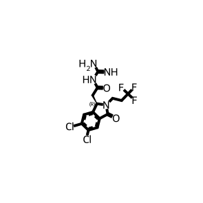 N=C(N)NC(=O)C[C@@H]1c2cc(Cl)c(Cl)cc2C(=O)N1CCC(F)(F)F